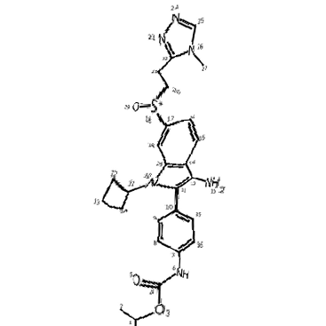 CC(C)OC(=O)Nc1ccc(-c2c(N)c3ccc([S+]([O-])CCc4nncn4C)cc3n2C2CCC2)cc1